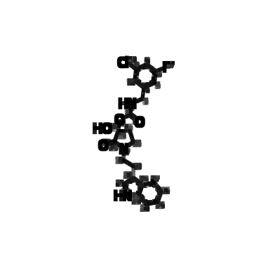 O=C(NCc1cc(F)cc(Cl)c1)O[C@@]1(O)CCN(CCc2c[nH]c3ccccc23)C1=O